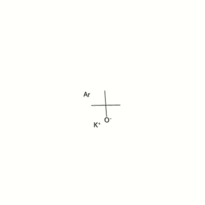 CC(C)(C)[O-].[Ar].[K+]